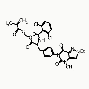 C=C(C)C(=O)OCOC(=O)[C@H](Cc1ccc(-n2c(=O)c3nn(CC)cc3n(C)c2=O)cc1)NC(=O)c1c(Cl)cccc1Cl